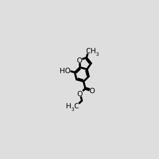 CCOC(=O)c1cc(O)c2oc(C)cc2c1